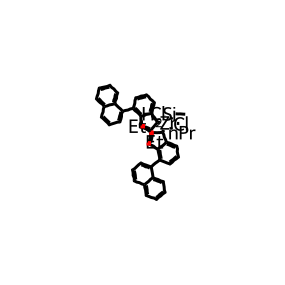 CC[CH2][Zr]([Cl])([Cl])([SiH2]C)([CH]1C(CC)=Cc2c(-c3cccc4ccccc34)cccc21)[CH]1C(CC)=Cc2c(-c3cccc4ccccc34)cccc21